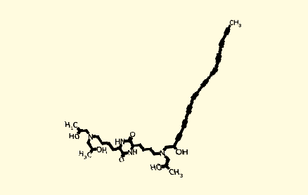 CC#CC#CC#CC#CC#CC#CC#CC#CC#CC(O)CN(CCCCC1NC(=O)C(CCCCN(CC(C)O)CC(C)O)NC1=O)CC(C)O